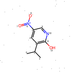 CC(C)c1cc([N+](=O)[O-])cnc1O